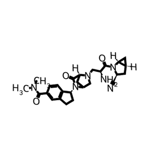 CN(C)C(=O)c1ccc2c(c1)CC[C@H]2N1C(=O)[C@@H]2CC1CN2C[C@H](N)C(=O)N1[C@H](C#N)C[C@@H]2C[C@@H]21